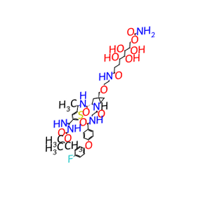 CC(NC(=O)[C@@H]1C[C@]2(COCCNC(=O)CCC(O)C(O)C(O)C(O)COC(N)=O)C[C@@H]2N1C(=O)CNC(=O)c1ccc(Oc2ccc(F)cc2)cc1)c1cc(C(=N)NC(=O)OC(C)(C)C)cs1